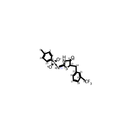 Cc1ccc(S(=O)(=O)/N=C2\NC(=O)C(Cc3cccc(C(F)(F)F)c3)S2)cc1